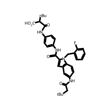 CCCCC(C(=O)O)C(=O)Nc1ccc(NC(=O)c2cc3cc(NC(=O)CC(C)(C)C)ccc3n2Cc2ccccc2F)cc1